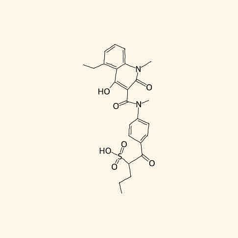 CCCC(C(=O)c1ccc(N(C)C(=O)c2c(O)c3c(CC)cccc3n(C)c2=O)cc1)S(=O)(=O)O